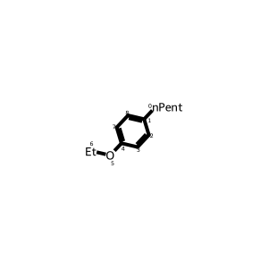 CCCCCc1ccc(OCC)cc1